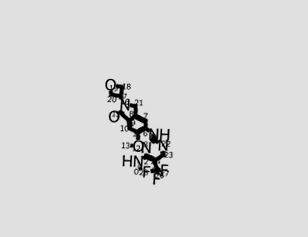 CNc1nc(Nc2cc3c(cc2OC)C(=O)N(C2COC2)C3)ncc1C(F)(F)F